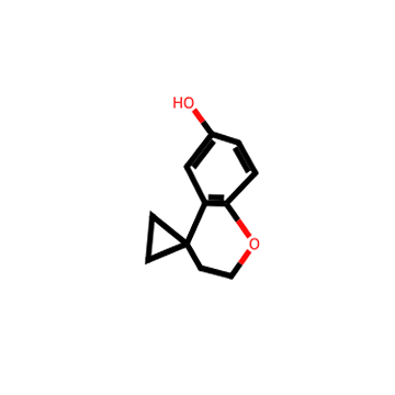 Oc1ccc2c(c1)C1(CCO2)CC1